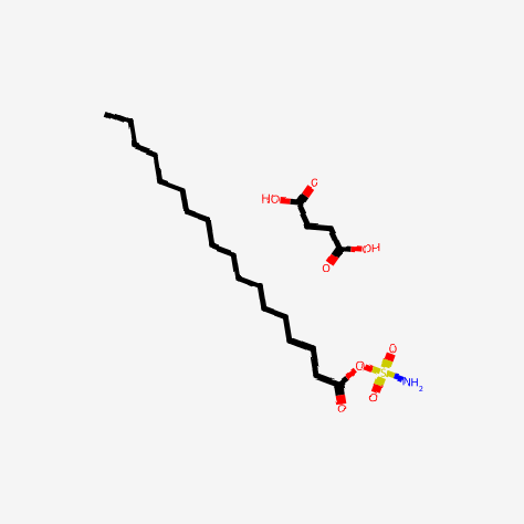 CCCCCCCCCCCCCCCCCC(=O)OS(N)(=O)=O.O=C(O)CCC(=O)O